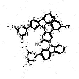 Cc1nc(C)nc(-c2ccc3c4ccccc4n(-c4cc(-c5cc(C#N)cc(C(F)(F)F)c5)c(-n5c6ccccc6c6ccc(-c7nc(C)nc(C)n7)cc65)cc4C#N)c3c2)n1